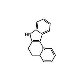 C1=CC2CCc3[nH]c4ccccc4c3N2C=C1